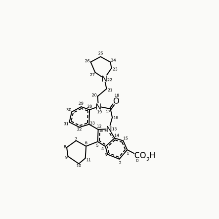 O=C(O)c1ccc2c(C3CCCCC3)c3n(c2c1)CC(=O)N(CCN1CCCCC1)c1ccccc1-3